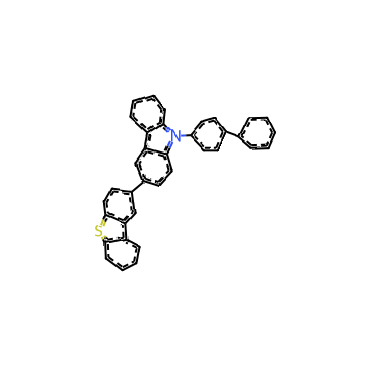 c1ccc(-c2ccc(-n3c4ccccc4c4cc(-c5ccc6sc7ccccc7c6c5)ccc43)cc2)cc1